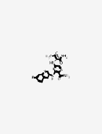 CC(C)[C@@H](Nc1cnc(C(N)=O)c(Nc2cnc3cc(F)ccc3c2)n1)C(N)=O